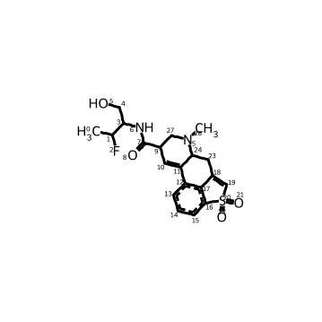 CC(F)C(CO)NC(=O)C1C=C2c3cccc4c3C(=CS4(=O)=O)CC2N(C)C1